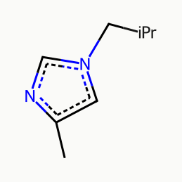 Cc1cn(CC(C)C)cn1